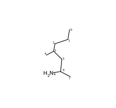 CCCC(C)CC(C)N